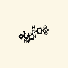 CCC1(c2ncc3cnc(NC4CCN(S(C)(=O)=O)CC4)nn23)CCC1